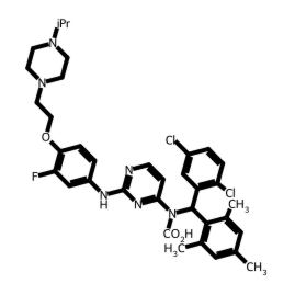 Cc1cc(C)c(C(c2cc(Cl)ccc2Cl)N(C(=O)O)c2ccnc(Nc3ccc(OCCN4CCN(C(C)C)CC4)c(F)c3)n2)c(C)c1